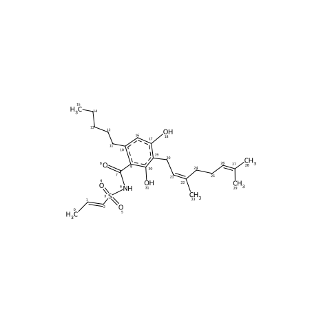 CC=CS(=O)(=O)NC(=O)c1c(CCCCC)cc(O)c(CC=C(C)CCC=C(C)C)c1O